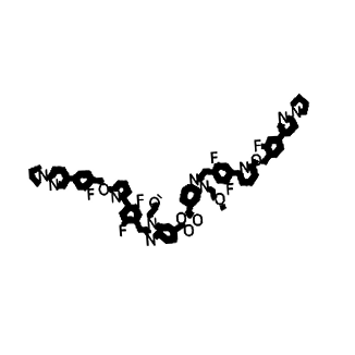 COCCn1c(Cc2cc(F)c(-c3cccc(OCc4ccc(-c5ccc(N6CCCC6)nc5)cc4F)n3)cc2F)nc2ccc(C(=O)OC(=O)c3ccc4nc(Cc5cc(F)c(-c6cccc(OCc7ccc(-c8ccc(N9CCCC9)nc8)cc7F)n6)cc5F)n(CCOC)c4c3)cc21